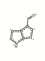 O=Cc1csc2[nH]ccc12